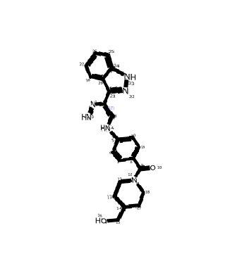 N=N/C(=C\Nc1ccc(C(=O)N2CCC(CO)CC2)cc1)c1n[nH]c2ccccc12